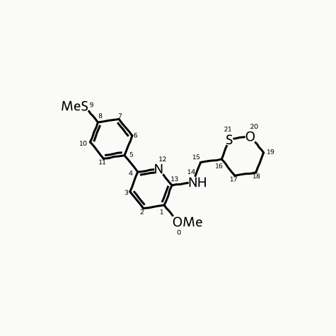 COc1ccc(-c2ccc(SC)cc2)nc1NCC1CCCOS1